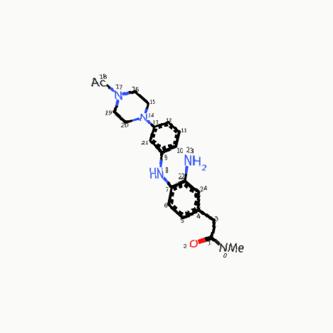 CNC(=O)Cc1ccc(Nc2cccc(N3CCN(C(C)=O)CC3)c2)c(N)c1